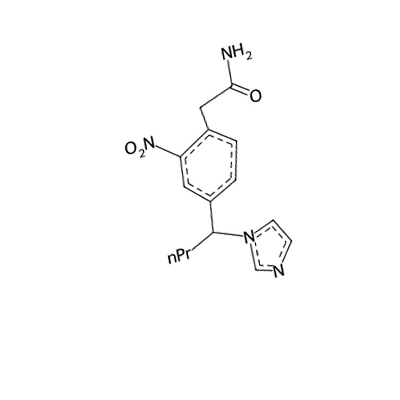 CCCC(c1ccc(CC(N)=O)c([N+](=O)[O-])c1)n1ccnc1